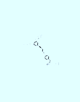 CCO[C@@H](Cc1ccc(OC/C=C/C#Cc2cc(OCC(F)(F)F)cc(OCC(F)(F)F)c2)cc1)C(=O)O